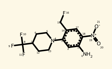 Nc1cc(N2CCC(C(F)(F)F)CC2)c(CF)cc1[N+](=O)[O-]